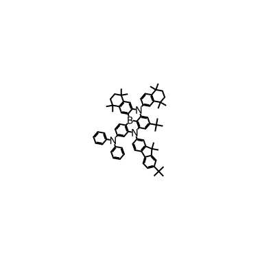 CC(C)(C)c1cc2c3c(c1)N(c1ccc4c(c1)C(C)(C)CCC4(C)C)c1cc4c(cc1B3c1ccc(N(c3ccccc3)c3ccccc3)cc1N2c1ccc2c(c1)C(C)(C)c1cc(C(C)(C)C)ccc1-2)C(C)(C)CCC4(C)C